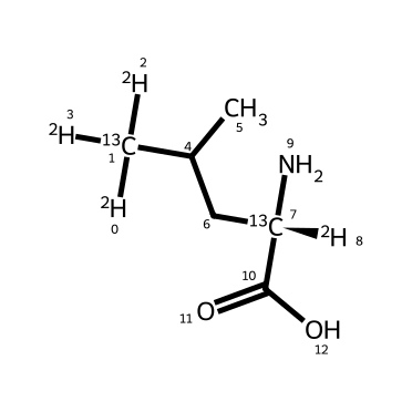 [2H][13C]([2H])([2H])C(C)C[13C@]([2H])(N)C(=O)O